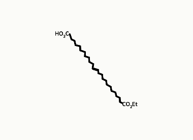 CCOC(=O)CCCCCCCCCCCC=CCCCCCCCCCCCC(=O)O